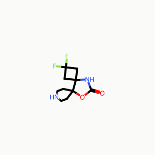 O=C1NC2(CC(F)(F)C2)C2(CCNCC2)O1